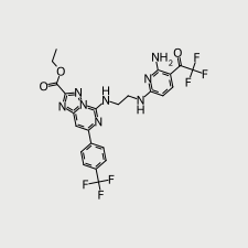 CCOC(=O)c1nc2cc(-c3ccc(C(F)(F)F)cc3)nc(NCCNc3ccc(C(=O)C(F)(F)F)c(N)n3)n2n1